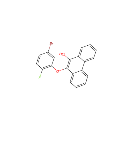 Oc1c(Oc2cc(Br)ccc2F)c2ccccc2c2ccccc12